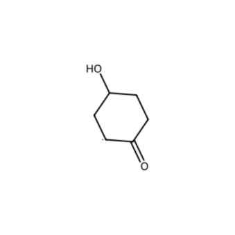 O=C1[CH]CC(O)CC1